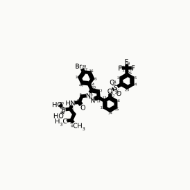 CC(C)CC(NC(=O)Cn1nc(-c2ccccc2OS(=O)(=O)c2cccc(C(F)(F)F)c2)cc1-c1ccc(Br)cc1)B(O)O